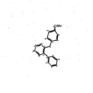 COc1ccc(Cc2nnncc2-c2ccccc2)cc1